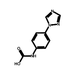 O=C(O)Nc1ccc(-n2cncn2)cc1